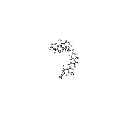 N#Cc1cc(F)c(N2CCN(Cc3ccc(CNc4cccc5c4C(=O)N(C4CCC(=O)NC4=O)C5=O)cc3)CC2)c(Cl)c1